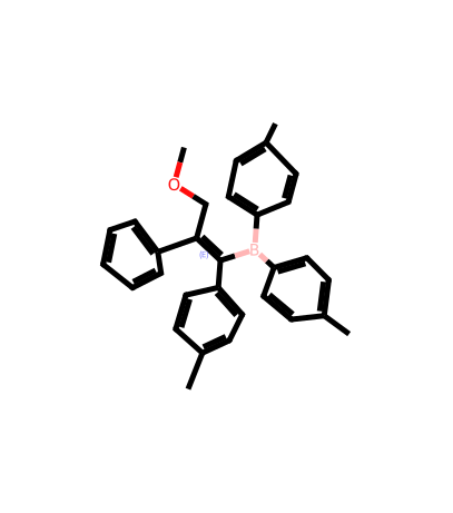 COC/C(=C(\B(c1ccc(C)cc1)c1ccc(C)cc1)c1ccc(C)cc1)c1ccccc1